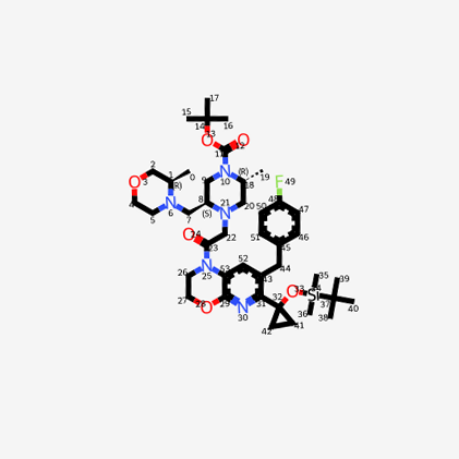 C[C@@H]1COCCN1C[C@H]1CN(C(=O)OC(C)(C)C)[C@H](C)CN1CC(=O)N1CCOc2nc(C3(O[Si](C)(C)C(C)(C)C)CC3)c(Cc3ccc(F)cc3)cc21